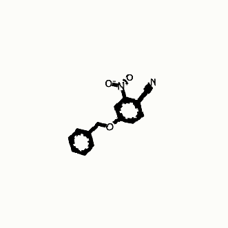 N#Cc1ccc(OCc2ccccc2)cc1[N+](=O)[O-]